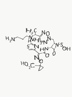 CC(NCCCN)C1=NON(CC2C(NC(=O)/C(=N\OC3(C(=O)O)CC3)c3csc(N)n3)C(=O)N2SO)N=C1